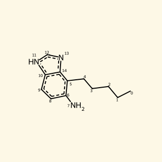 CCCCCc1c(N)ccc2[nH][c]nc12